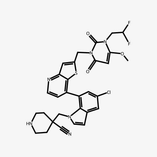 COc1cc(=O)n(Cc2cc3nccc(-c4cc(Cl)cc5ccn(CC6(C#N)CCNCC6)c45)c3s2)c(=O)n1CC(F)F